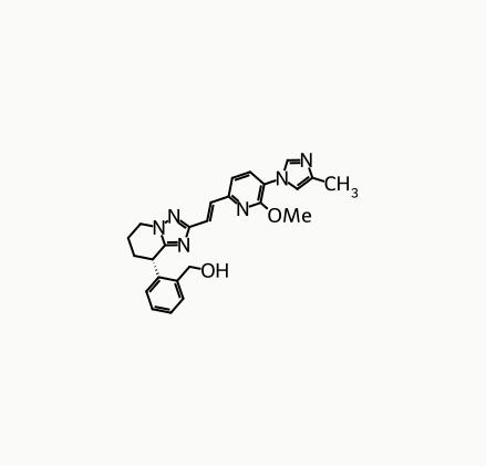 COc1nc(/C=C/c2nc3n(n2)CCC[C@H]3c2ccccc2CO)ccc1-n1cnc(C)c1